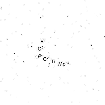 [Mo+6].[O-2].[O-2].[O-2].[Ti].[V]